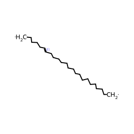 [CH2]CCCC/C=C/CCCCCCCCCCCCCCCC[CH2]